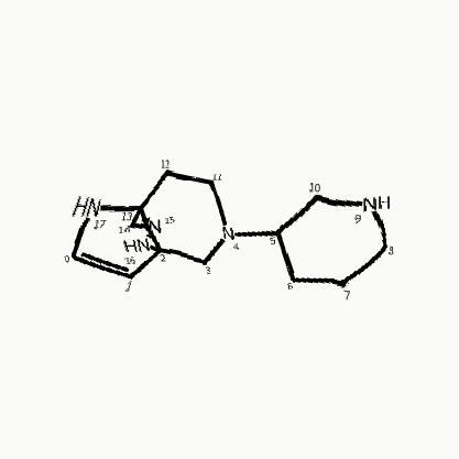 C1=CC23CN(C4CCCNC4)CCC2(C=NN3)N1